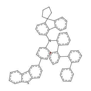 c1ccc(-c2ccccc2-c2ccccc2-c2ccccc2N(c2ccc(-c3ccc4sc5ccccc5c4c3)cc2)c2cccc3c2-c2ccccc2C32CCCC2)cc1